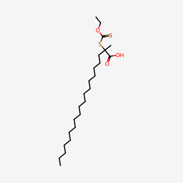 CCCCCCCCCCCCCCCCCCC(C)(SC(=S)OCC)C(=O)O